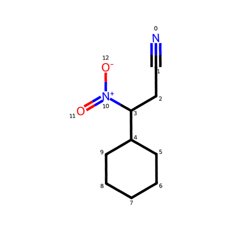 N#CCC(C1CCCCC1)[N+](=O)[O-]